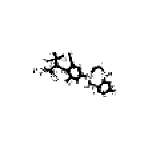 Cc1cc(N2CCNc3cc(F)ccc3C2)cc(C)c1C(C(N)=O)C(C)(C)C